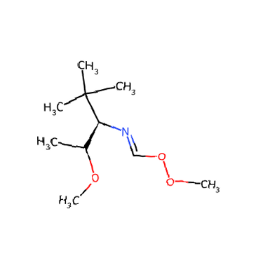 COO/C=N/[C@@H](C(C)OC)C(C)(C)C